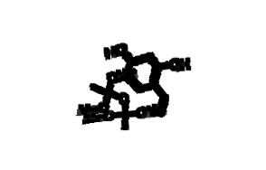 C=Cc1ccc(O)cc1O.COC(C)(OC)OC(C)(OC)OC